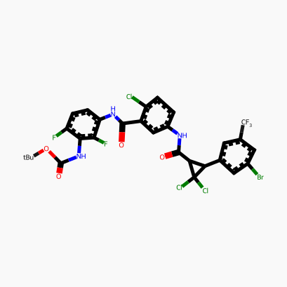 CC(C)(C)OC(=O)Nc1c(F)ccc(NC(=O)c2cc(NC(=O)C3C(c4cc(Br)cc(C(F)(F)F)c4)C3(Cl)Cl)ccc2Cl)c1F